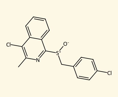 Cc1nc([S+]([O-])Cc2ccc(Cl)cc2)c2ccccc2c1Cl